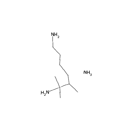 CC(CCCCN)C(C)(C)N.N